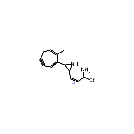 CCC(N)/C=C\C1NC1C1=CC#CCC=C1C